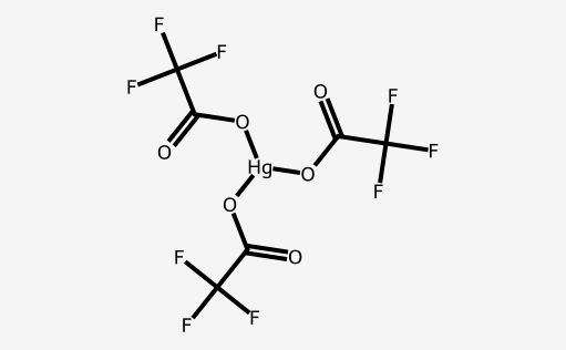 O=C([O][Hg]([O]C(=O)C(F)(F)F)[O]C(=O)C(F)(F)F)C(F)(F)F